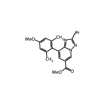 COC(=O)c1cc(-c2c(C)cc(OC)cc2C)c2nc(C(C)C)nn2c1